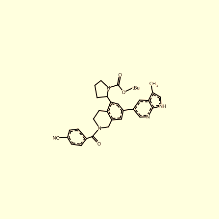 Cc1c[nH]c2ncc(-c3cc4c(c(C5CCCN5C(=O)OC(C)(C)C)c3)CCN(C(=O)c3ccc(C#N)cc3)C4)cc12